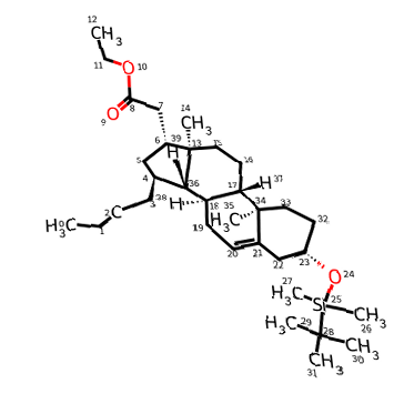 CCCC[C@H]1C[C@H](CC(=O)OCC)[C@@]2(C)CC[C@H]3[C@@H](CC=C4C[C@@H](O[Si](C)(C)C(C)(C)C)CC[C@@]43C)[C@H]12